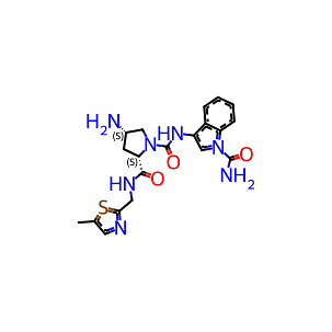 Cc1cnc(CNC(=O)[C@@H]2C[C@H](N)CN2C(=O)Nc2cn(C(N)=O)c3ccccc23)s1